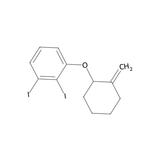 C=C1CCCCC1Oc1cccc(I)c1I